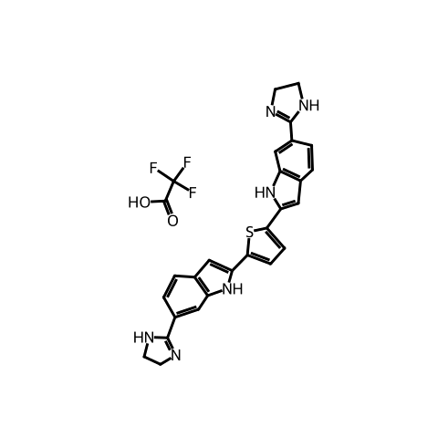 O=C(O)C(F)(F)F.c1cc2cc(-c3ccc(-c4cc5ccc(C6=NCCN6)cc5[nH]4)s3)[nH]c2cc1C1=NCCN1